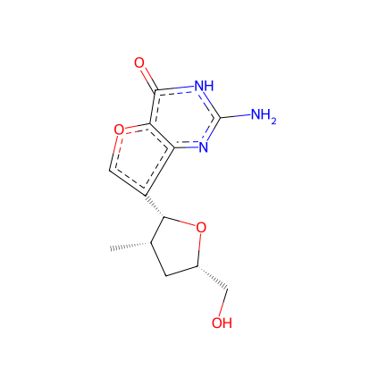 C[C@H]1C[C@@H](CO)O[C@H]1c1coc2c(=O)[nH]c(N)nc12